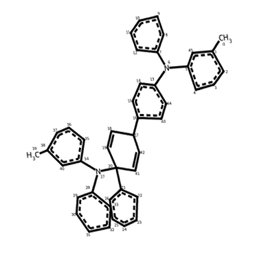 Cc1cccc(N(c2ccccc2)c2ccc(C3C=CC(c4ccccc4)(N(c4ccccc4)c4cccc(C)c4)C=C3)cc2)c1